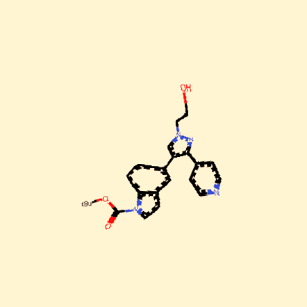 CC(C)(C)OC(=O)n1ccc2cc(-c3cn(CCO)nc3-c3ccncc3)ccc21